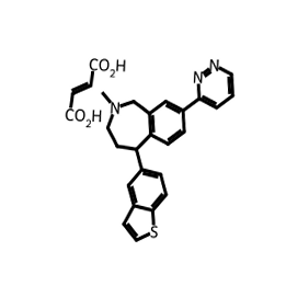 CN1CCC(c2ccc3sccc3c2)c2ccc(-c3cccnn3)cc2C1.O=C(O)C=CC(=O)O